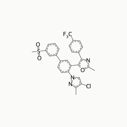 Cc1nc(-c2ccc(C(F)(F)F)cc2)c(-c2cc(-c3cccc(S(C)(=O)=O)c3)ccc2-n2cc(Cl)c(C)n2)o1